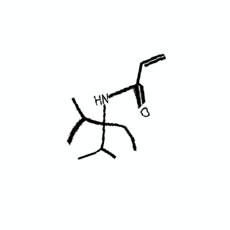 C=CC(=O)NC(CC)(C(C)C)C(C)C